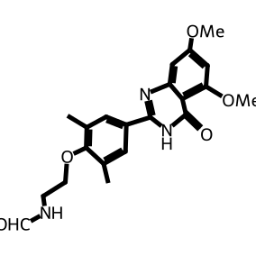 COc1cc(OC)c2c(=O)[nH]c(-c3cc(C)c(OCCNC=O)c(C)c3)nc2c1